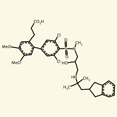 COc1cc(CCC(=O)O)c(-c2cc(Cl)c(S(=O)(=O)N(C)CC(O)CNC(C)(C)CC3Cc4ccccc4C3)c(Cl)c2)cc1OC